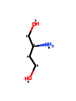 N[C@H](CO)CCO